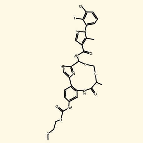 COCCOC(=O)Nc1ccc2c(c1)NC(=O)C(C)CCCC(NC(=O)c1cnn(-c3cccc(Cl)c3F)c1C)c1nc-2c[nH]1